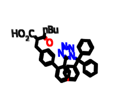 CCCCC(=O)C(Cc1ccc(-c2ccccc2-c2nnnn2C(c2ccccc2)(c2ccccc2)c2ccccc2)cc1)C(=O)O